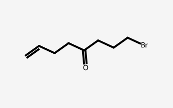 C=CCCC(=O)CCCBr